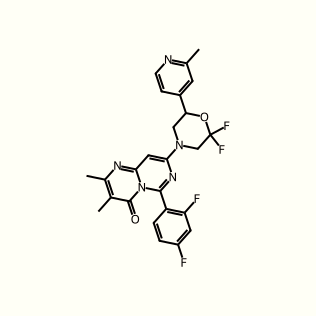 Cc1cc(C2CN(c3cc4nc(C)c(C)c(=O)n4c(-c4ccc(F)cc4F)n3)CC(F)(F)O2)ccn1